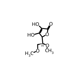 COC[C@H](OC)C1OC(=O)C(O)=C1O